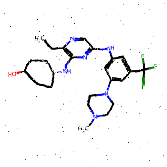 CCc1ncc(Nc2cc(N3CCN(C)CC3)cc(C(F)(F)F)c2)nc1N[C@H]1CC[C@H](O)CC1